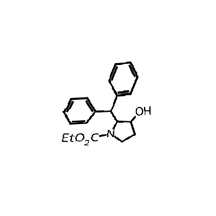 CCOC(=O)N1CCC(O)C1C(c1ccccc1)c1ccccc1